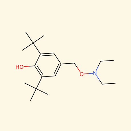 CCN(CC)OCc1cc(C(C)(C)C)c(O)c(C(C)(C)C)c1